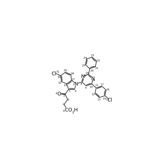 O=C(O)CCC(=O)c1cn(-c2cc(-c3ccc(Cl)cc3)nc(-c3ccccc3)n2)c2ccc(Cl)cc12